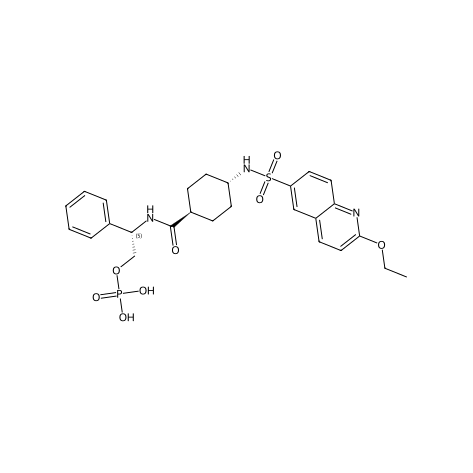 CCOc1ccc2cc(S(=O)(=O)N[C@H]3CC[C@H](C(=O)N[C@H](COP(=O)(O)O)c4ccccc4)CC3)ccc2n1